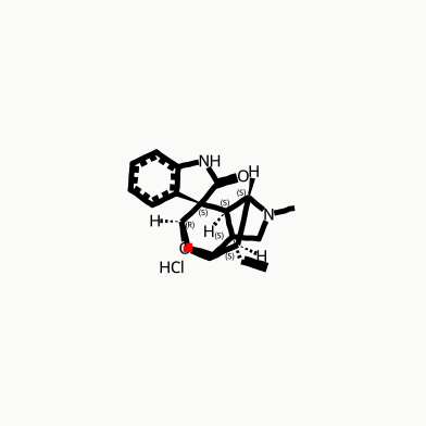 C=C[C@@]12CN(C)[C@H]3[C@@H]1[C@@]1(C(=O)Nc4ccccc41)[C@H]1CC2[C@@H]3CO1.Cl